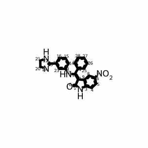 O=C1Nc2ccc([N+](=O)[O-])cc2/C1=C(/Nc1cccc(C2=NCCN2)c1)c1ccccc1